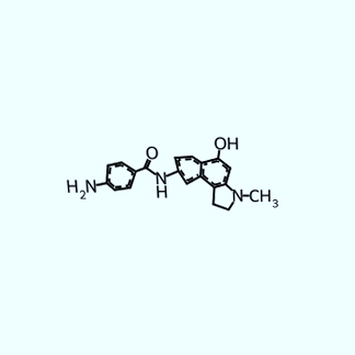 CN1CCc2c1cc(O)c1ccc(NC(=O)c3ccc(N)cc3)cc21